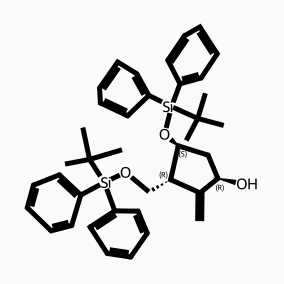 C=C1[C@H](O)C[C@H](O[Si](c2ccccc2)(c2ccccc2)C(C)(C)C)[C@H]1CO[Si](c1ccccc1)(c1ccccc1)C(C)(C)C